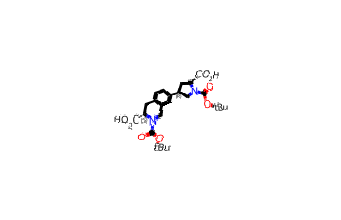 CC(C)(C)OC(=O)N1Cc2cc([C@H]3C[C@@H](C(=O)O)N(C(=O)OC(C)(C)C)C3)ccc2C[C@H]1C(=O)O